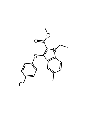 CCn1c(C(=O)OC)c(Sc2ccc(Cl)cc2)c2cc(C)ccc21